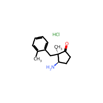 Cc1ccccc1C[C@@]1(C)C(=O)CC[C@H]1N.Cl